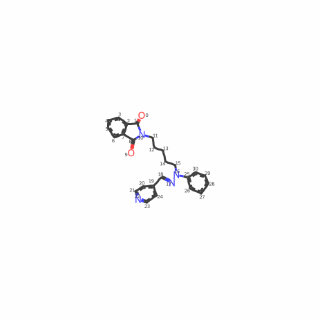 O=C1c2ccccc2C(=O)N1CCCCCN(N=Cc1ccncc1)c1ccccc1